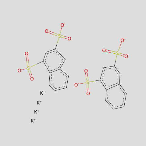 O=S(=O)([O-])c1cc(S(=O)(=O)[O-])c2ccccc2c1.O=S(=O)([O-])c1cc(S(=O)(=O)[O-])c2ccccc2c1.[K+].[K+].[K+].[K+]